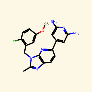 Cc1nc2ccc(-c3cc(N)nc(N)c3)nc2n1Cc1cc(OC(F)(F)F)ccc1F